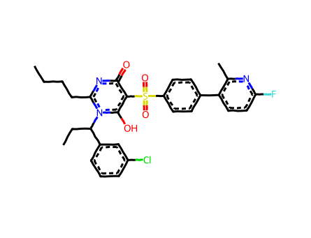 CCCCc1nc(=O)c(S(=O)(=O)c2ccc(-c3ccc(F)nc3C)cc2)c(O)n1C(CC)c1cccc(Cl)c1